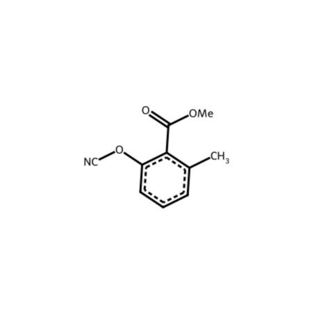 COC(=O)c1c(C)cccc1OC#N